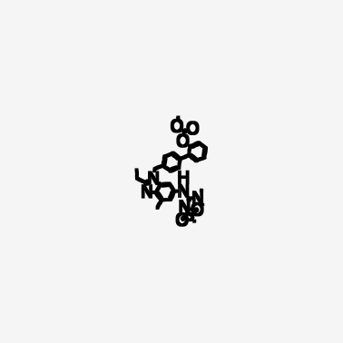 CCc1nc2c(C)cc(NC(=NS(C)(=O)=O)N(C)C)cc2n1Cc1ccc(-c2ccccc2OC(=O)OC)cc1